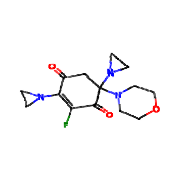 O=C1CC(N2CCOCC2)(N2CC2)C(=O)C(F)=C1N1CC1